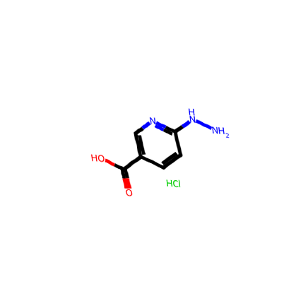 Cl.NNc1ccc(C(=O)O)cn1